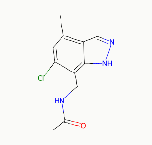 CC(=O)NCc1c(Cl)cc(C)c2cn[nH]c12